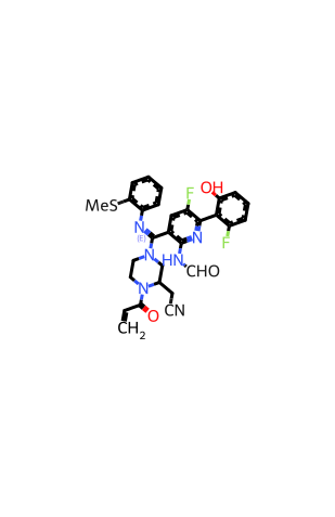 C=CC(=O)N1CCN(/C(=N/c2ccccc2SC)c2cc(F)c(-c3c(O)cccc3F)nc2NC=O)CC1CC#N